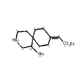 CCOC(=O)C=C1CCC2(CCNCC2C(C)(C)C)CC1